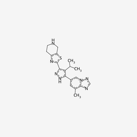 Cc1cc(-c2[nH]nc(-c3nc4c(s3)CNCC4)c2C(C)C)cn2ncnc12